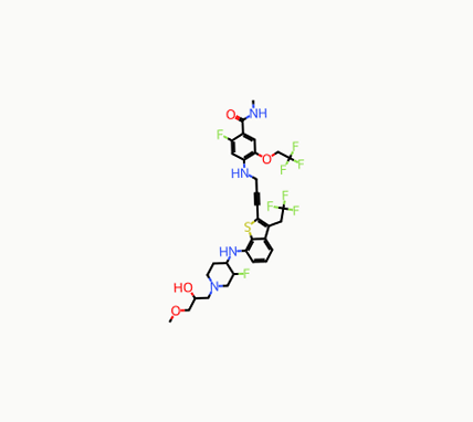 CNC(=O)c1cc(OCC(F)(F)F)c(NCC#Cc2sc3c(NC4CCN(CC(O)COC)CC4F)cccc3c2CC(F)(F)F)cc1F